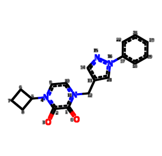 O=c1c(=O)n(C2CCC2)ccn1Cc1cnn(-c2ccccc2)c1